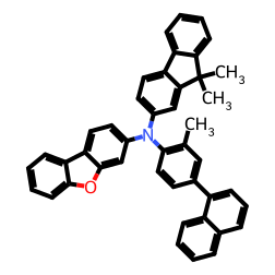 Cc1cc(-c2cccc3ccccc23)ccc1N(c1ccc2c(c1)C(C)(C)c1ccccc1-2)c1ccc2c(c1)oc1ccccc12